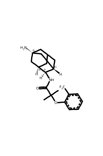 CC(C)(Oc1ccccc1C(F)(F)F)C(=O)N[C@H]1[C@@H]2CC3C[C@H]1C[C@](N)(C3)C2